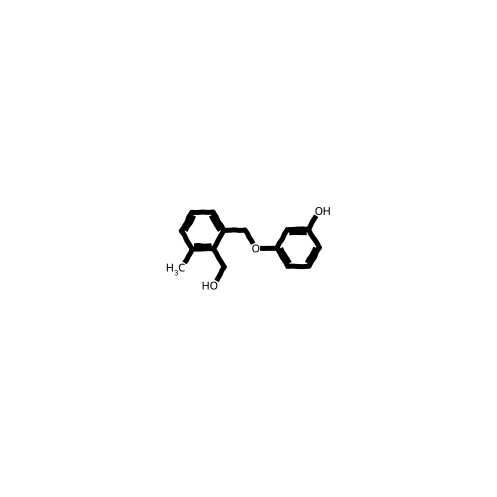 Cc1cccc(COc2cccc(O)c2)c1CO